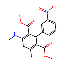 CNC1=C(C(=O)OC)C(c2cccc([N+](=O)[O-])c2)C(C(=O)OC)=C(C)C1